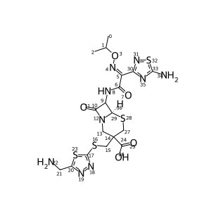 CC(C)ON=C(C(=O)NC1C(=O)N2CC(CSc3nnc(CN)s3)(C(=O)O)CS[C@H]12)c1nsc(N)n1